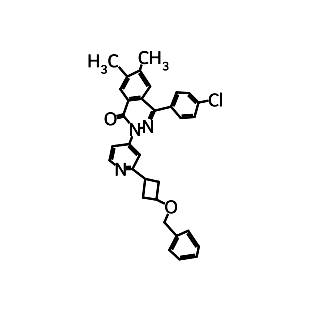 Cc1cc2c(-c3ccc(Cl)cc3)nn(-c3ccnc(C4CC(OCc5ccccc5)C4)c3)c(=O)c2cc1C